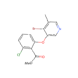 COC(=O)c1c(Cl)cccc1Oc1cncc(C)c1Br